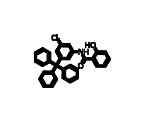 O=C(Nc1cc(Cl)cc(C(c2ccccc2)(c2ccccc2)c2ccccc2)c1)c1ccccc1O